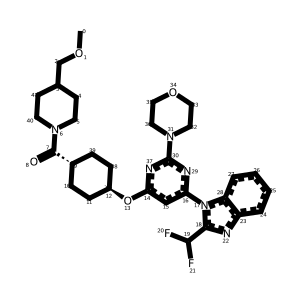 COCC1CCN(C(=O)[C@H]2CC[C@H](Oc3cc(-n4c(C(F)F)nc5ccccc54)nc(N4CCOCC4)n3)CC2)CC1